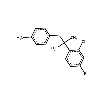 CC(C)(Oc1ccc(N)cc1)c1ccc(F)cc1Cl